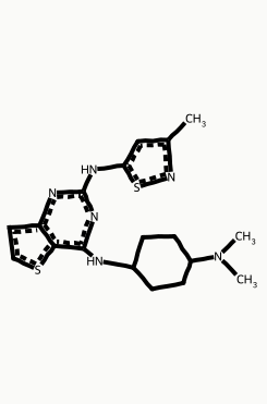 Cc1cc(Nc2nc(NC3CCC(N(C)C)CC3)c3sccc3n2)sn1